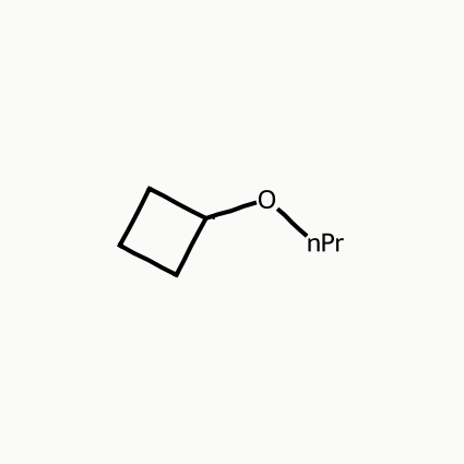 CCCO[C]1CCC1